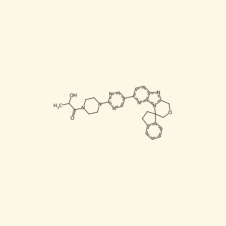 CC(O)C(=O)N1CCN(c2ncc(-c3ccc4nc5n(c4n3)C3(CCc4ccccc43)COC5)cn2)CC1